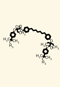 CCC(C)(Oc1ccc(C(C)(C)C)cc1)C(=O)Oc1ccc(CCCCCCCc2ccc(OC(CC)(CC)C(=O)Oc3ccc(C(C)(C)C)cc3)cc2)cc1